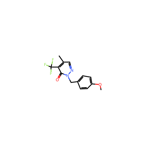 COc1ccc(Cn2ncc(C)c(C(F)(F)F)c2=O)cc1